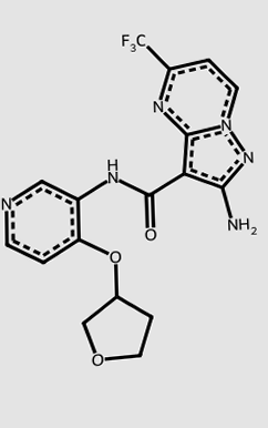 Nc1nn2ccc(C(F)(F)F)nc2c1C(=O)Nc1cnccc1OC1CCOC1